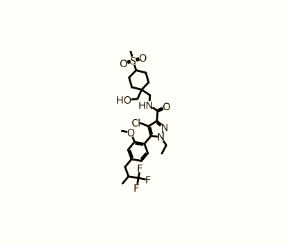 CCn1nc(C(=O)NCC2(CO)CCC(S(C)(=O)=O)CC2)c(Cl)c1-c1ccc(CC(C)C(F)(F)F)cc1OC